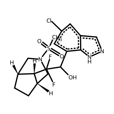 CS(=O)(=O)N1C[C@H]2CC[C@@H](C1)[C@H]2C(F)(F)C(O)c1cc(Cl)cc2cn[nH]c12